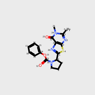 CC(C)c1nc2sc(C3CCCN3C(=O)Oc3ccccc3)nc2c(=O)n1C